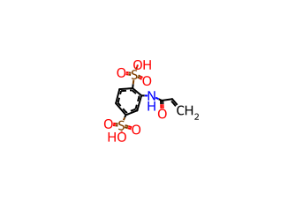 C=CC(=O)Nc1cc(S(=O)(=O)O)ccc1S(=O)(=O)O